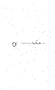 CC(C)CNC(=O)C=C(C=CCCCCCCOCc1cc(C(F)(F)F)cc(C(F)(F)F)c1)CF